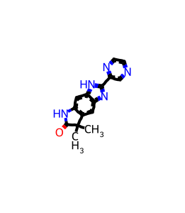 CC1(C)C(=O)Nc2cc3[nH]c(-c4cnccn4)nc3cc21